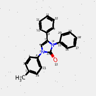 Cc1ccc(-n2cc(-c3ccccc3)n(-c3ccccc3)c2=O)cc1